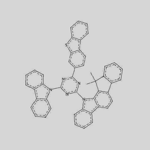 CC1(C)c2ccccc2-c2ccc3c4ccccc4n(-c4nc(-c5ccc6c(c5)sc5ccccc56)nc(-n5c6ccccc6c6ccccc65)n4)c3c21